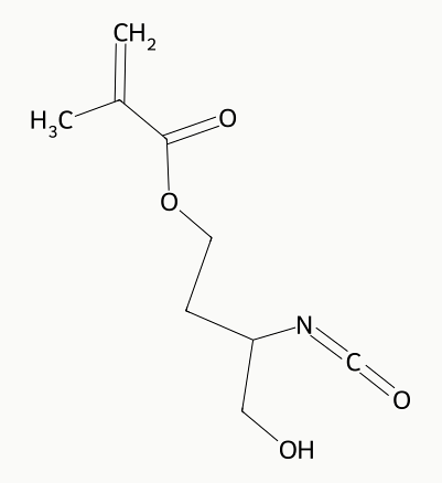 C=C(C)C(=O)OCCC(CO)N=C=O